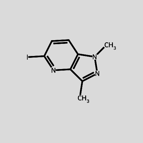 Cc1nn(C)c2ccc(I)nc12